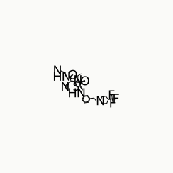 CCn1c(=C(C#N)C(=O)NCC#N)sc(=CNc2cccc(CCN3CCC(C(F)(F)F)CC3)c2)c1=O